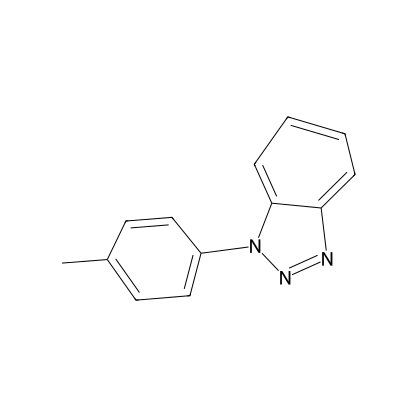 Cc1ccc(-n2nnc3ccccc32)cc1